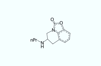 CCCNC1Cc2cccc3oc(=O)n(c23)C1